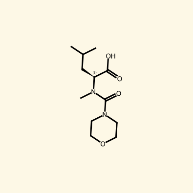 CC(C)C[C@@H](C(=O)O)N(C)C(=O)N1CCOCC1